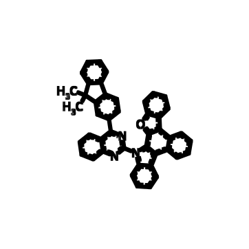 CC1(C)c2ccccc2-c2ccc(-c3nc(-n4c5ccccc5c5c6ccccc6c6c7ccccc7oc6c54)nc4ccccc34)cc21